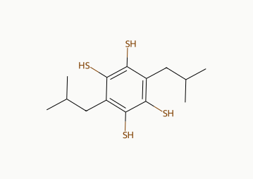 CC(C)Cc1c(S)c(S)c(CC(C)C)c(S)c1S